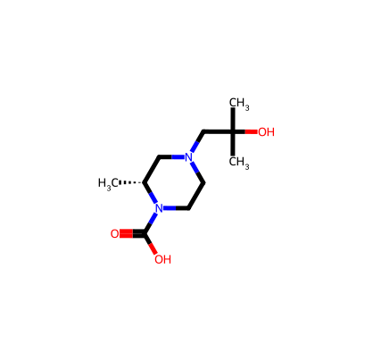 C[C@@H]1CN(CC(C)(C)O)CCN1C(=O)O